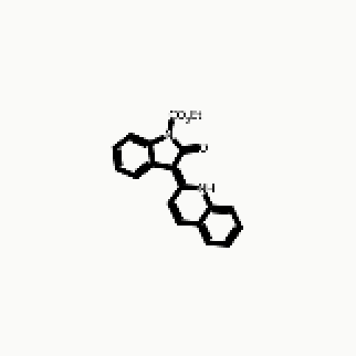 CCOC(=O)N1C(=O)C(=C2C=Cc3ccccc3N2)c2ccccc21